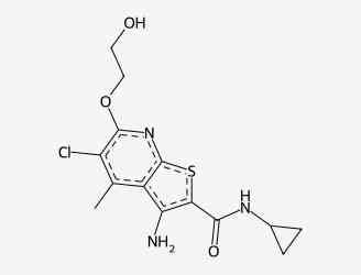 Cc1c(Cl)c(OCCO)nc2sc(C(=O)NC3CC3)c(N)c12